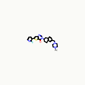 CC(=O)N1CCN(Cc2ccc3c(c2)CCC(n2cnc4cc(-c5cccnc5F)sc4c2=O)C3)CC1